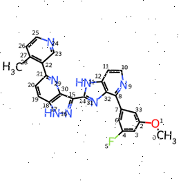 COc1cc(F)cc(-c2nccc3[nH]c(-c4n[nH]c5ccc(-c6cnccc6C)nc45)nc23)c1